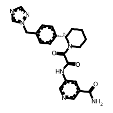 NC(=O)c1cncc(NC(=O)C(=O)N2CCCC[C@H]2c2ccc(Cn3cncn3)cc2)c1